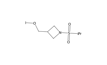 CC(C)S(=O)(=O)N1CC(COI)C1